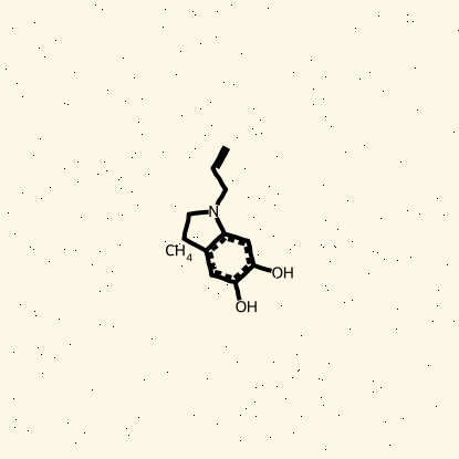 C.C=CCN1CCc2cc(O)c(O)cc21